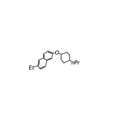 CCCC1CCC(Oc2ccc3cc(CC)ccc3c2)CC1